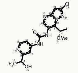 CO[C@@H](C)c1c(NC(=O)Nc2ccnc(C(O)C(F)(F)F)c2)cnc2cc(Cl)nn12